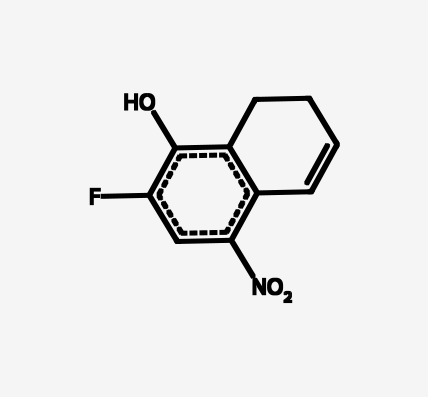 O=[N+]([O-])c1cc(F)c(O)c2c1C=CCC2